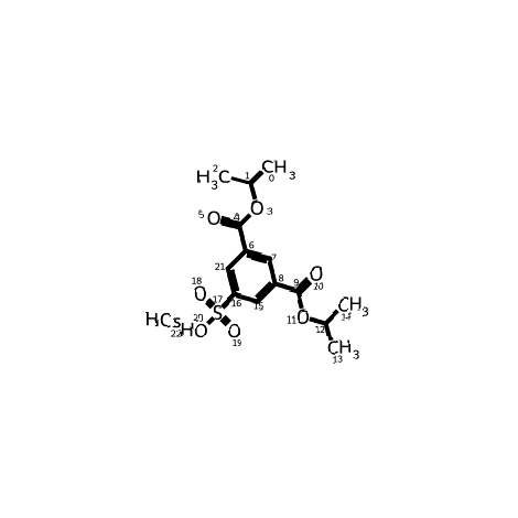 CC(C)OC(=O)c1cc(C(=O)OC(C)C)cc(S(=O)(=O)O)c1.[CsH]